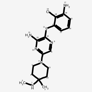 CNC1(C)CCN(c2cnc(Sc3cccc(N)c3Cl)c(N)n2)CC1